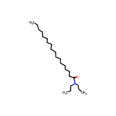 CCCCCCCCCCCCCCCCCC(=O)N(CCC)CCC